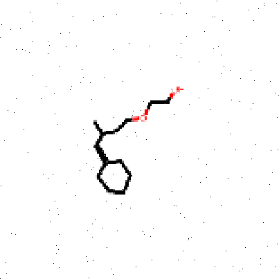 CC(C=C1CCCCC1)CCOCCO